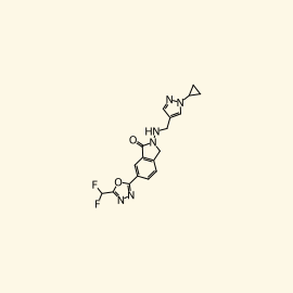 O=C1c2cc(-c3nnc(C(F)F)o3)ccc2CN1NCc1cnn(C2CC2)c1